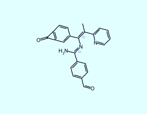 C/C(=C(/N=C(\N)c1ccc(C=O)cc1)c1ccc2c(=O)c2c1)c1ccccn1